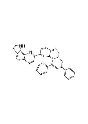 c1ccc(-c2cc(-c3ccccc3)c3c(ccc4ccc(-c5ccc6ccc7cc[nH]c7c6n5)cc43)n2)cc1